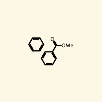 COC(=O)c1ccccc1.c1ccccc1